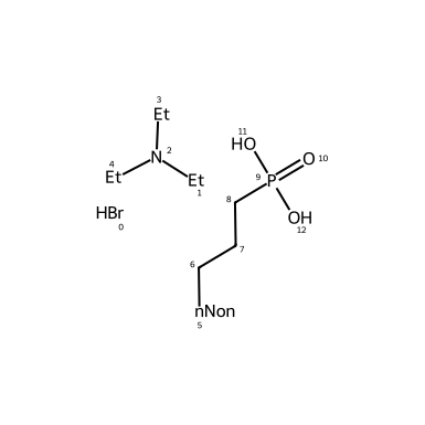 Br.CCN(CC)CC.[CH2]CCCCCCCCCCCP(=O)(O)O